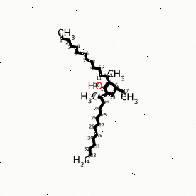 CCCCCCCCCCCCC(C)c1cc(CC)cc(C(C)CCCCCCCCCCCC)c1O